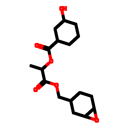 CC(OC(=O)C1CCCC(O)C1)C(=O)OCC1CCC2OC2C1